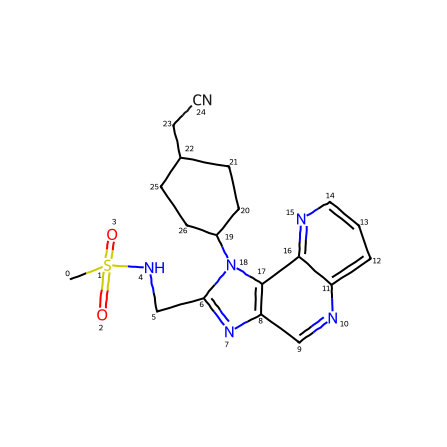 CS(=O)(=O)NCc1nc2cnc3cccnc3c2n1C1CCC(CC#N)CC1